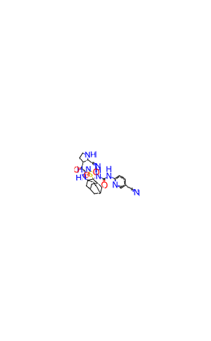 N#Cc1ccc(NC(=O)N[C@]2(S(N)(=O)=O)C3CC4CC(C3)CC2(NCC(=O)C2CCNC2C#N)C4)nc1